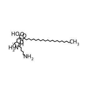 CCCCCCCCCCCCCCCCCCCCC(=O)N[C@@H](CC([C]=O)C(=O)[C@@H](N)CCCCN)C(=O)O